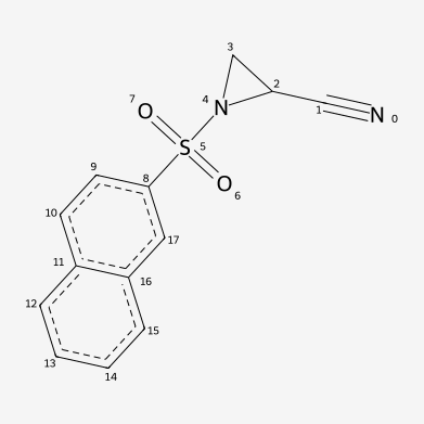 N#CC1CN1S(=O)(=O)c1ccc2ccccc2c1